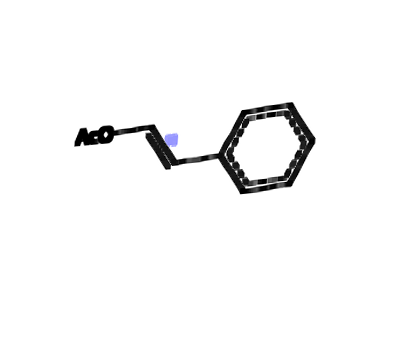 CC(=O)O/C=C/c1ccccc1